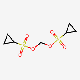 O=S(=O)(OCOS(=O)(=O)C1CC1)C1CC1